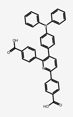 O=C(O)c1ccc(-c2ccc(-c3ccc(N(c4ccccc4)c4ccccc4)cc3)c(-c3ccc(C(=O)O)cc3)n2)cc1